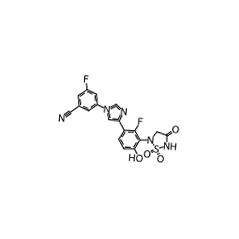 N#Cc1cc(F)cc(-n2cnc(-c3ccc(O)c(N4CC(=O)NS4(=O)=O)c3F)c2)c1